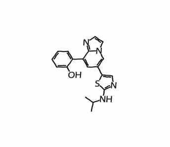 CC(C)Nc1ncc(-c2cc(-c3ccccc3O)c3nccn3c2)s1